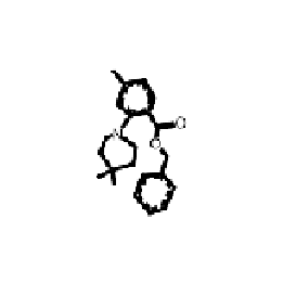 Cc1ccc(C(=O)OCc2ccccc2)c(N2CCC(C)(C)CC2)c1